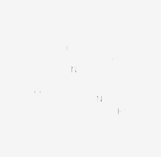 CCN1C(=O)N([Si](C)(C)C)C(=O)C1C